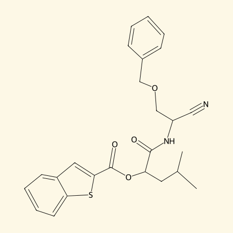 CC(C)CC(OC(=O)c1cc2ccccc2s1)C(=O)NC(C#N)COCc1ccccc1